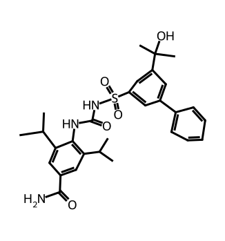 CC(C)c1cc(C(N)=O)cc(C(C)C)c1NC(=O)NS(=O)(=O)c1cc(-c2ccccc2)cc(C(C)(C)O)c1